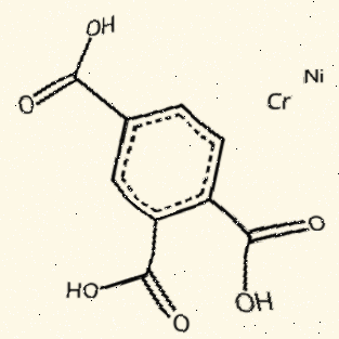 O=C(O)c1ccc(C(=O)O)c(C(=O)O)c1.[Cr].[Ni]